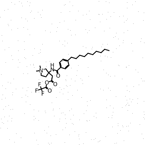 CCCCCCCCCCc1ccc(C(=O)NC2(CC(=O)OC(=O)C(F)(F)F)CC[N+](C)(C)C2)cc1